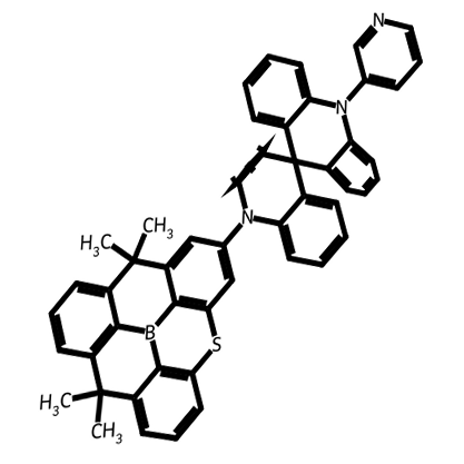 CC1(C)c2cccc3c2B2c4c(cc(N5c6ccccc6C6(c7ccccc7N(c7cccnc7)c7ccccc76)c6ccccc65)cc4C(C)(C)c4cccc1c42)S3